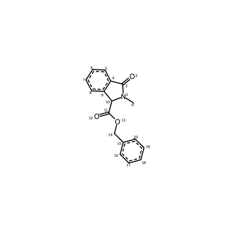 CN1C(=O)c2ccccc2C1C(=O)OCc1ccccc1